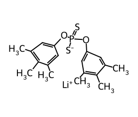 Cc1cc(OP(=S)([S-])Oc2cc(C)c(C)c(C)c2)cc(C)c1C.[Li+]